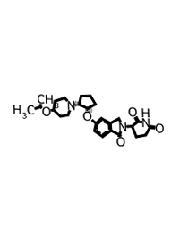 CC(C)OC1CCN([C@H]2CCC[C@@H]2Oc2ccc3c(c2)CN(C2CCC(=O)NC2=O)C3=O)CC1